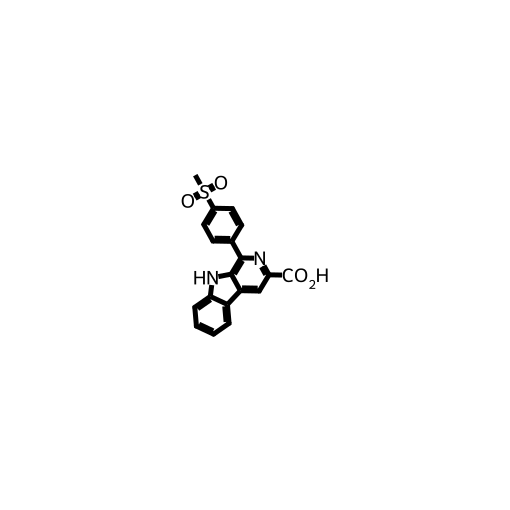 CS(=O)(=O)c1ccc(-c2nc(C(=O)O)cc3c2[nH]c2ccccc23)cc1